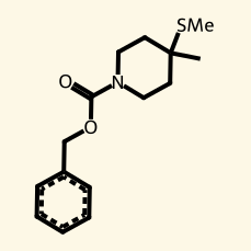 CSC1(C)CCN(C(=O)OCc2ccccc2)CC1